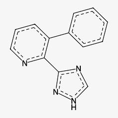 c1ccc(-c2cccnc2-c2nc[nH]n2)cc1